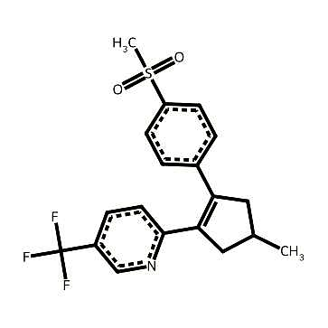 CC1CC(c2ccc(S(C)(=O)=O)cc2)=C(c2ccc(C(F)(F)F)cn2)C1